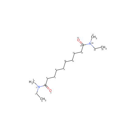 CCN(C)C(=O)CCCCCCCCC(=O)N(C)CC